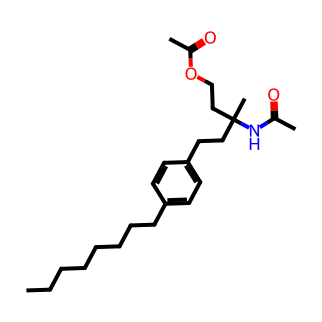 CCCCCCCCc1ccc(CCC(C)(CCOC(C)=O)NC(C)=O)cc1